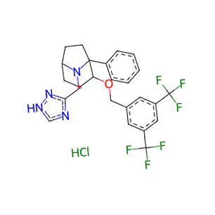 Cl.FC(F)(F)c1cc(COC2CCC3CCC2(c2ccccc2)N3Cc2nc[nH]n2)cc(C(F)(F)F)c1